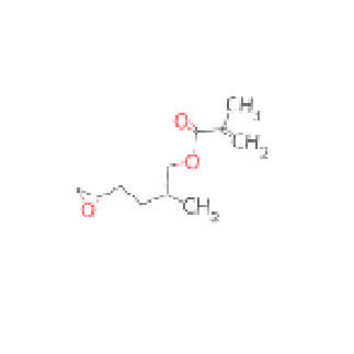 C=C(C)C(=O)OCC(C)CCC1CO1